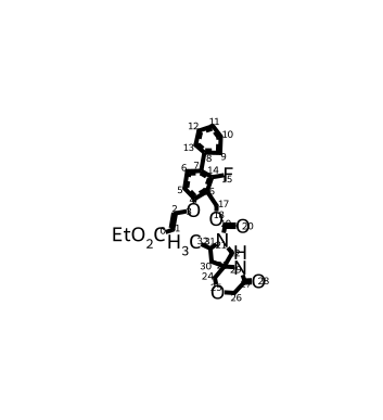 CCOC(=O)C=COc1ccc(-c2ccccc2)c(F)c1COC(=O)N1CC2(COCC(=O)N2)CC1C